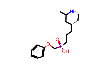 CC[C@H](CCCP(=O)(O)COc1ccccc1)CC(C)N